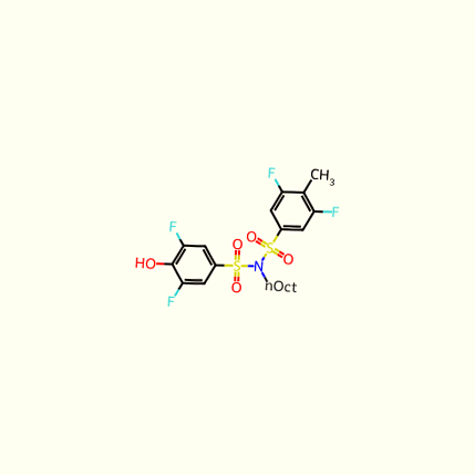 CCCCCCCCN(S(=O)(=O)c1cc(F)c(C)c(F)c1)S(=O)(=O)c1cc(F)c(O)c(F)c1